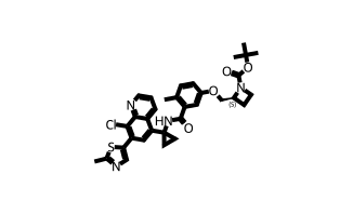 Cc1ncc(-c2cc(C3(NC(=O)c4cc(OC[C@@H]5CCN5C(=O)OC(C)(C)C)ccc4C)CC3)c3cccnc3c2Cl)s1